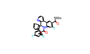 CNC(=O)c1cc(-c2cccnc2[C@H](Cc2cc(F)cc(F)c2)NC(=O)C2(c3ccccc3)CC2)ccc1F